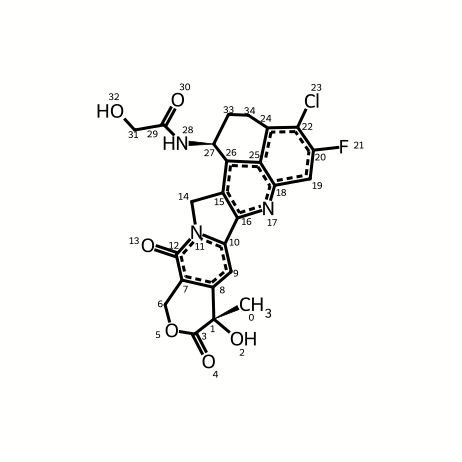 C[C@@]1(O)C(=O)OCc2c1cc1n(c2=O)Cc2c-1nc1cc(F)c(Cl)c3c1c2[C@@H](NC(=O)CO)CC3